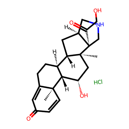 C[C@]12C=CC(=O)C=C1CC[C@@H]1[C@@H]2[C@@H](O)C[C@@]2(C)[C@H]1C[C@H]1CNC[C@]12C(=O)CO.Cl